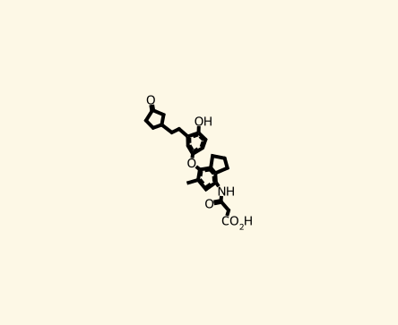 Cc1cc(NC(=O)CC(=O)O)c2c(c1Oc1ccc(O)c(CCC3CCC(=O)C3)c1)CCC2